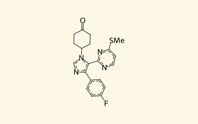 CSc1ccnc(-c2c(-c3ccc(F)cc3)ncn2C2CCC(=O)CC2)n1